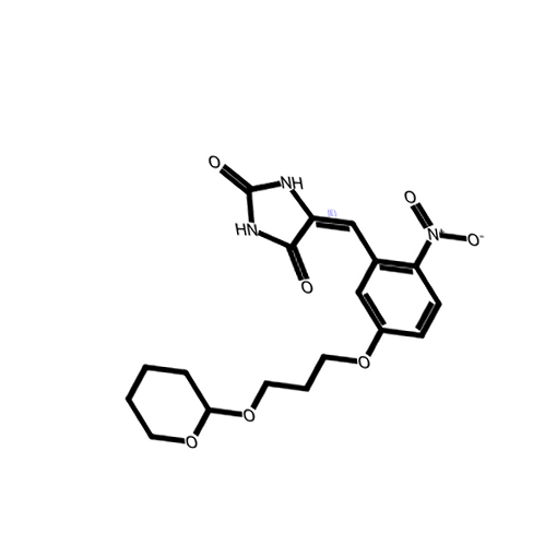 O=C1NC(=O)/C(=C\c2cc(OCCCOC3CCCCO3)ccc2[N+](=O)[O-])N1